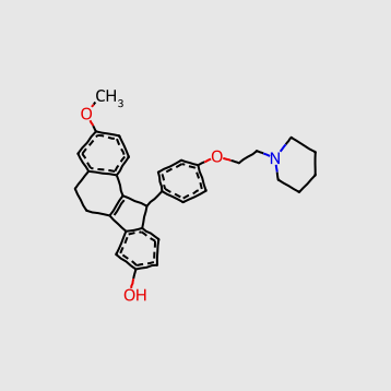 COc1ccc2c(c1)CCC1=C2C(c2ccc(OCCN3CCCCC3)cc2)c2ccc(O)cc21